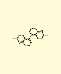 Cc1ccc2c(-c3cccc4nc(C)ccc34)cccc2n1